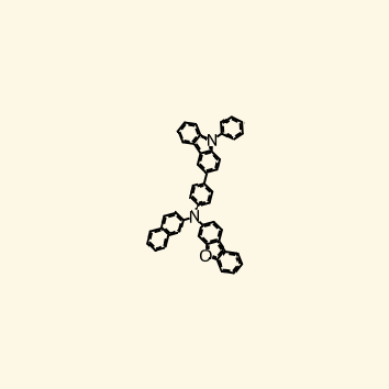 c1ccc(-n2c3ccccc3c3cc(-c4ccc(N(c5ccc6ccccc6c5)c5ccc6c(c5)oc5ccccc56)cc4)ccc32)cc1